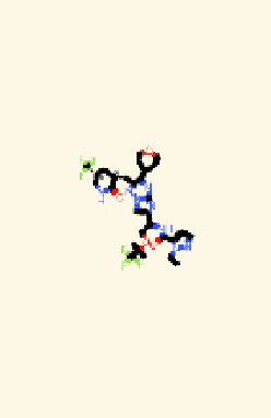 CCn1nccc1C(=O)NC(COC(C)(C)C(F)(F)F)c1cn2nc(C[C@H]3C[C@@H](C(F)(F)F)CNC3=O)c(C3CCOCC3)nc2n1